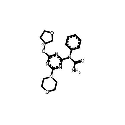 NC(=O)N(c1ccccc1)c1nc(O[C@H]2CCOC2)nc(N2CCOCC2)n1